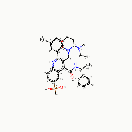 CC(C)CN(C)C1CCCCN1Cc1c(-c2cccc(C(F)(F)F)c2)nc2ccc(S(C)(=O)=O)cc2c1C(=O)N[C@H](c1ccccc1)C(F)(F)F